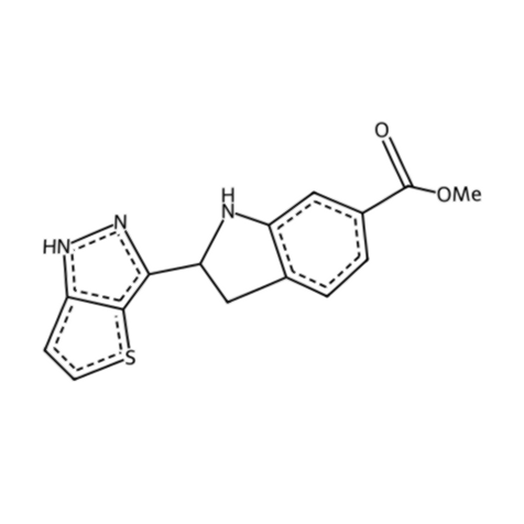 COC(=O)c1ccc2c(c1)NC(c1n[nH]c3ccsc13)C2